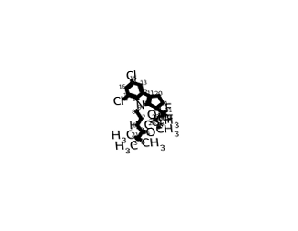 CC(C)(C)C(=O)CCCn1c2c(c3cc(Cl)cc(Cl)c31)CCC2(O[Si](C)(C)C)C(F)(F)F